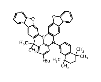 CC(C)(C)c1cc2c3c(c1)C(C)(C)c1cc4c(cc1B3c1cc3oc5ccccc5c3cc1N2c1ccc2c(c1)C(C)(C)CCC2(C)C)oc1ccccc14